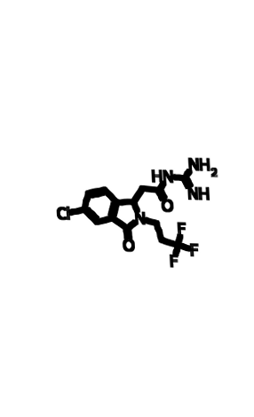 N=C(N)NC(=O)CC1c2ccc(Cl)cc2C(=O)N1CCC(F)(F)F